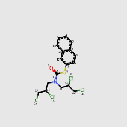 O=C(Sc1ccc2ccccc2c1)N(CC(Cl)CCl)CC(Cl)CCl